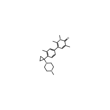 Cc1cc(-c2cc(C)c(=O)n(C)c2C)ccc1C1(N2CCN(C)CC2)CC1